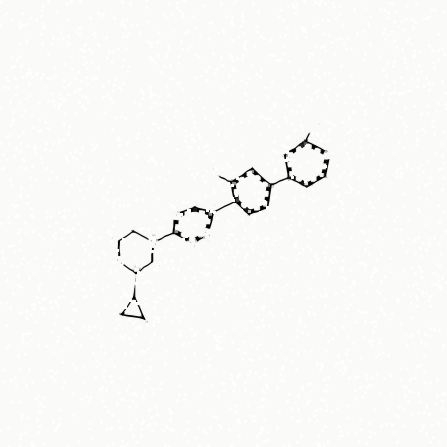 Oc1cc(-c2ccnc(F)c2)ccc1-c1cnc(N2CCN[C@H](C3CC3)C2)nn1